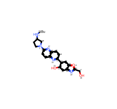 CC(C)(C)NC1CCN(c2ccc3nc(-c4cc5oc(CO)nc5cc4O)ccc3n2)C1